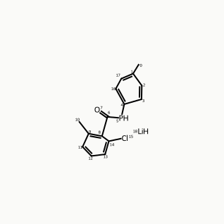 Cc1ccc(PC(=O)c2c(C)cccc2Cl)cc1.[LiH]